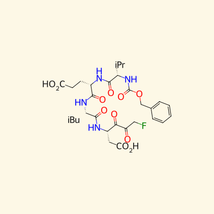 CC[C@H](C)[C@H](NC(=O)[C@H](CCC(=O)O)NC(=O)[C@@H](NC(=O)OCc1ccccc1)C(C)C)C(=O)N[C@@H](CC(=O)O)C(=O)C(=O)CF